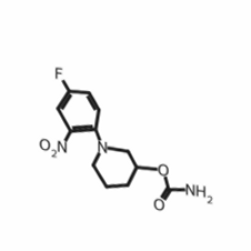 NC(=O)OC1CCCN(c2ccc(F)cc2[N+](=O)[O-])C1